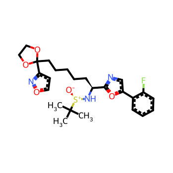 CC(C)(C)[S@@+]([O-])N[C@@H](CCCCCC1(c2ccon2)OCCO1)c1ncc(-c2ccccc2F)o1